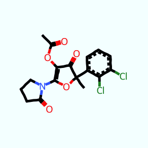 CC(=O)OC1=C(N2CCCC2=O)OC(C)(c2cccc(Cl)c2Cl)C1=O